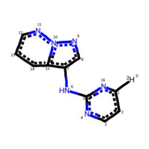 [2H]c1ccnc(Nc2cnn3ncccc23)n1